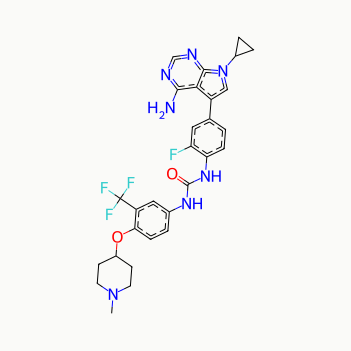 CN1CCC(Oc2ccc(NC(=O)Nc3ccc(-c4cn(C5CC5)c5ncnc(N)c45)cc3F)cc2C(F)(F)F)CC1